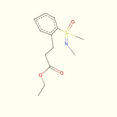 CCOC(=O)CCc1ccccc1S(C)(=O)=NC